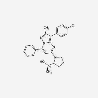 Cc1nn2c(-c3ccccc3)cc(N3CCCC3[C@@H](C)O)nc2c1-c1ccc(Cl)cc1